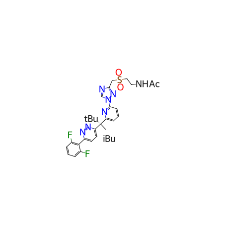 CC[C@H](C)c1cc(-c2c(F)cccc2F)nnc1[C@](C)(c1cccc(-n2cnc(CS(=O)(=O)CCNC(C)=O)n2)n1)C(C)(C)C